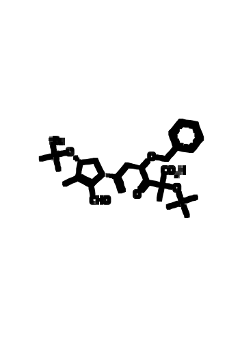 C=C(C[C@@H](OCc1ccccc1)C(=O)C(C)(O[Si](C)(C)C)C(=O)O)[C@H]1C[C@@H](O[Si](C)(C)C(C)(C)C)C(C)=C1C=O